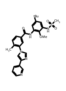 COc1c(NC(=O)c2ccc(C)c(-n3cnc(-c4cccnc4)c3)c2)cc(C(C)(C)C)cc1NS(C)(=O)=O